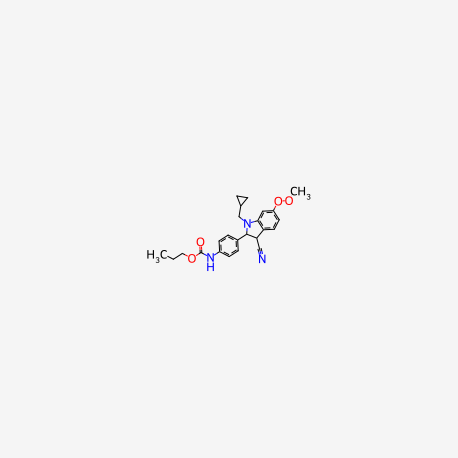 CCCOC(=O)Nc1ccc(C2C(C#N)c3ccc(OOC)cc3N2CC2CC2)cc1